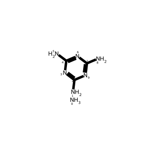 N.Nc1nc(N)nc(N)n1